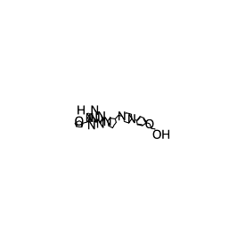 Nc1nc(N2CCCC(CN3CCN(c4ccc(OCCO)cc4)CC3)C2)nc2nc(-c3ccco3)nn12